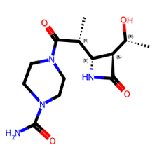 C[C@@H](O)[C@H]1C(=O)N[C@@H]1[C@@H](C)C(=O)N1CCN(C(N)=O)CC1